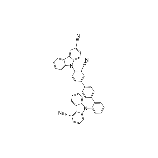 N#Cc1ccc2c(c1)c1ccccc1n2-c1ccc(-c2ccc(-c3ccccc3-n3c4ccccc4c4c(C#N)cccc43)cc2)cc1C#N